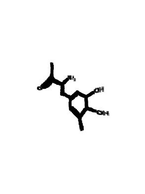 CC(=O)C(N)CC1=CC(O)C(O)C(C)=C1